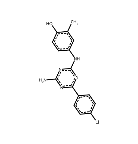 Cc1cc(Nc2nc(N)nc(-c3ccc(Cl)cc3)n2)ccc1O